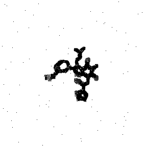 CC(C)=CCn1c(N2CCCC(N)C2)nc2c1c(=O)n(C)c(=O)n2CC(=O)c1cccs1